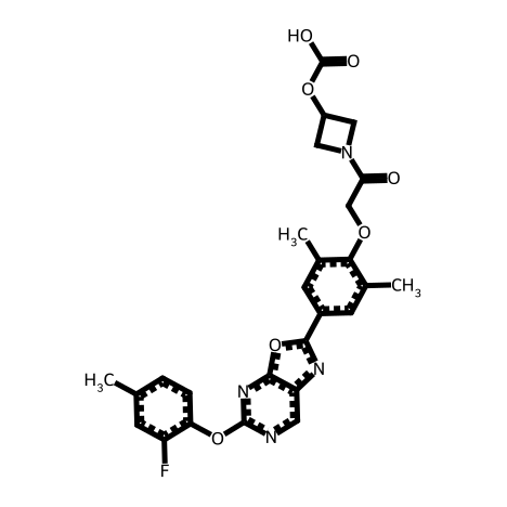 Cc1ccc(Oc2ncc3nc(-c4cc(C)c(OCC(=O)N5CC(OC(=O)O)C5)c(C)c4)oc3n2)c(F)c1